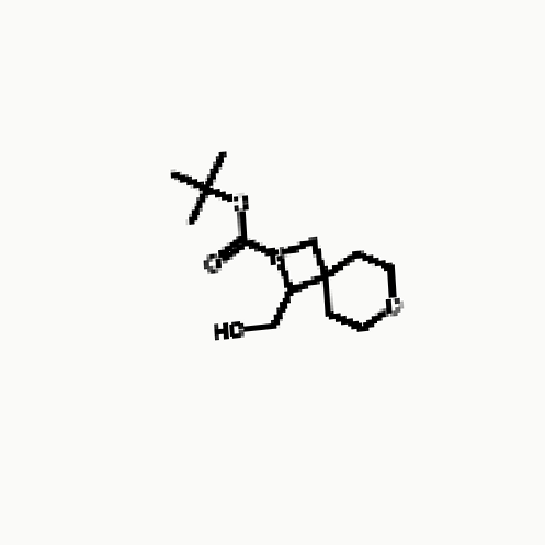 CC(C)(C)OC(=O)N1CC2(CCOCC2)C1CO